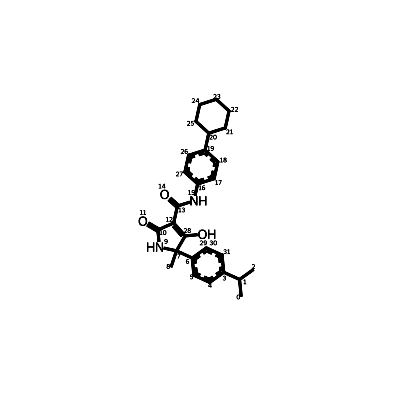 CC(C)c1ccc(C2(C)NC(=O)C(C(=O)Nc3ccc(C4CCCCC4)cc3)=C2O)cc1